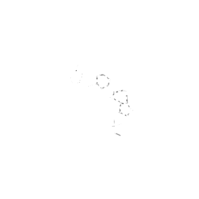 CC(C)(C=O)Cc1c[nH]c2ncc(-c3cccc(CN4CCC(C)(C)C4)c3)nc12